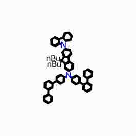 CCCCC1(CCCC)c2cc(N(c3ccc(-c4cccc(-c5ccccc5)c4)cc3)c3ccc(-c4ccccc4-c4ccccc4)cc3)ccc2-c2ccc(-n3c4ccccc4c4ccccc43)cc21